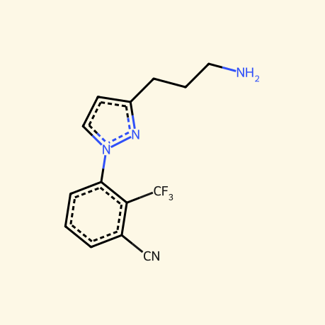 N#Cc1cccc(-n2ccc(CCCN)n2)c1C(F)(F)F